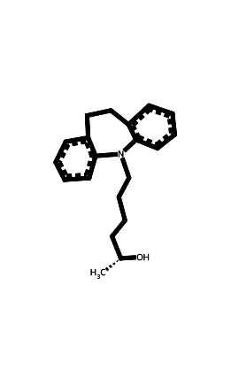 C[C@@H](O)CCCCN1c2ccccc2CCc2ccccc21